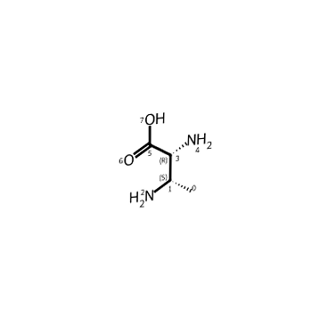 C[C@H](N)[C@@H](N)C(=O)O